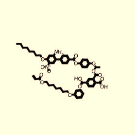 C=CC(=O)OCCCCCCCOc1ccccc1.CCCCCCCCOc1cc(N)c(-c2ccc(C(=O)Oc3ccc(OC(C)OC(=O)c4cc(C(=O)O)ccc4C(=O)O)cc3)cc2)cc1[N+](=O)[O-]